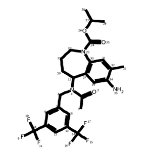 CC(=O)N(Cc1cc(C(F)(F)F)cc(C(F)(F)F)c1)C1CCCN(C(=O)OC(C)C)c2cc(C)c(N)cc21